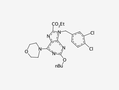 CCCCOc1nc(N2CCOCC2)c2nc(C(=O)OCC)n(Cc3ccc(Cl)c(Cl)c3)c2n1